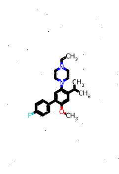 CCN1CCN(c2cc(-c3ccc(F)cc3)c(OC)cc2C(C)C)CC1